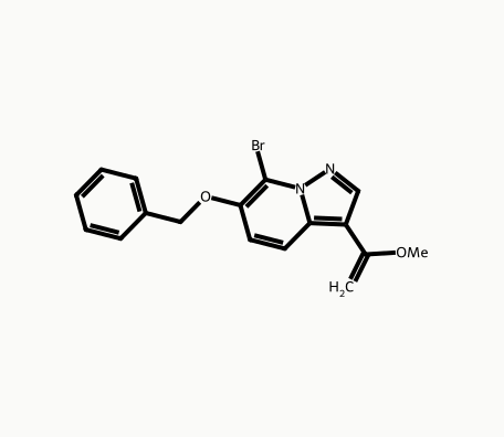 C=C(OC)c1cnn2c(Br)c(OCc3ccccc3)ccc12